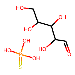 O=CC(O)C(O)C(O)CO.OP(O)(O)=S